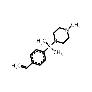 C=Cc1ccc([Si](C)(C)N2CCN(C)CC2)cc1